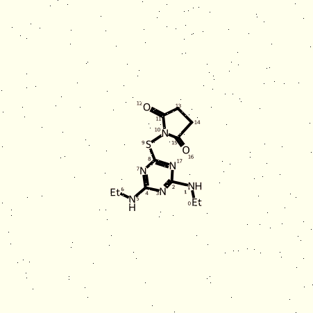 CCNc1nc(NCC)nc(SN2C(=O)CCC2=O)n1